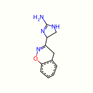 NC1=NC(C2=NOc3ccccc3C2)CN1